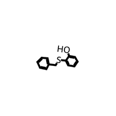 Oc1ccccc1SCc1ccccc1